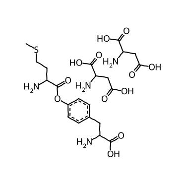 CSCCC(N)C(=O)Oc1ccc(CC(N)C(=O)O)cc1.NC(CC(=O)O)C(=O)O.NC(CC(=O)O)C(=O)O